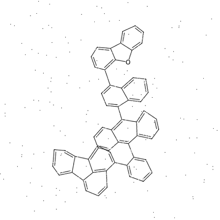 c1ccc(-c2ccc3c4c(cccc24)-c2ccccc2-3)c(-c2c3ccccc3c(-c3ccc(-c4cccc5c4oc4ccccc45)c4ccccc34)c3ccccc23)c1